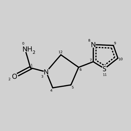 NC(=O)N1CCC(c2nccs2)C1